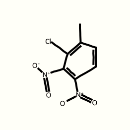 Cc1ccc([N+](=O)[O-])c([N+](=O)[O-])c1Cl